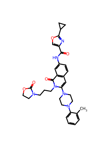 Cc1ccccc1N1CCN(c2cc3ccc(NC(=O)c4coc(C5CC5)n4)cc3c(=O)n2CCCN2CCOC2=O)CC1